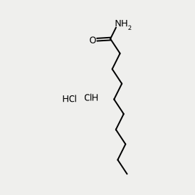 CCCCCCCCCC(N)=O.Cl.Cl